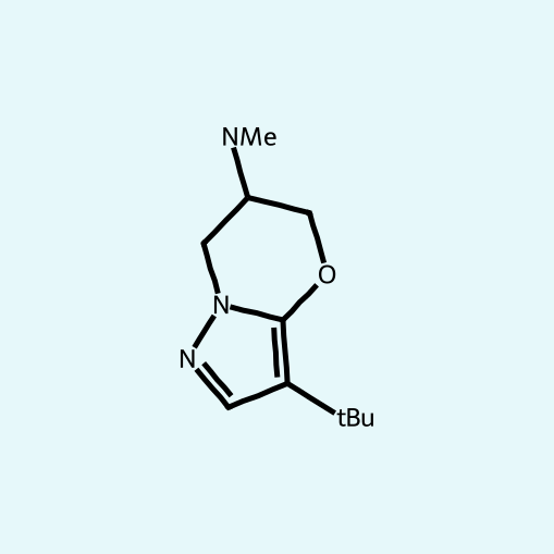 CNC1COc2c(C(C)(C)C)cnn2C1